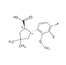 COc1c([C@@H]2CC(C)(C)C[C@H]2C(=O)O)ccc(F)c1F